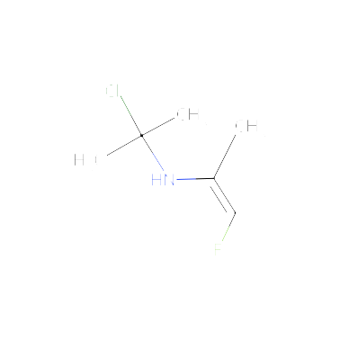 C/C(=C/F)NC(C)(C)Cl